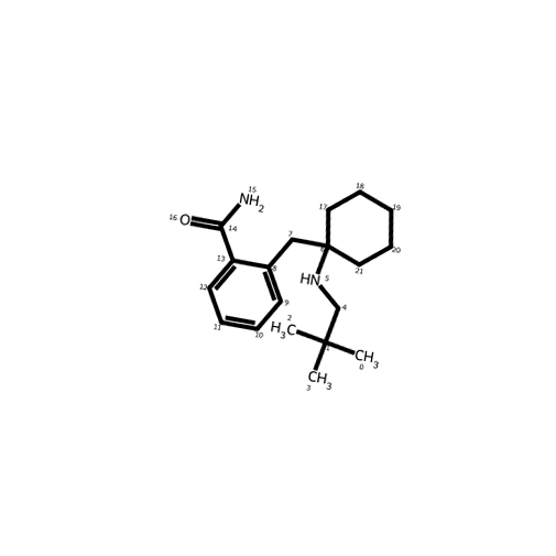 CC(C)(C)CNC1(Cc2ccccc2C(N)=O)CCCCC1